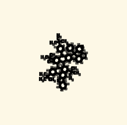 CC(C)(C)c1ccc(N2c3cc4c(cc3B3c5cc(C(C)(C)C)ccc5N(c5ccc(C(C)(C)C)cc5-c5cccc6c5sc5ccccc56)c5cc(C(C)(C)C)cc2c53)-c2ccc3c(c2C4(c2ccncc2)c2ccncc2)CCC3)cc1